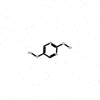 CCOc1ncc(SS)cn1